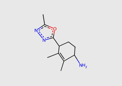 CC1=C(C)C(c2nnc(C)o2)CCC1N